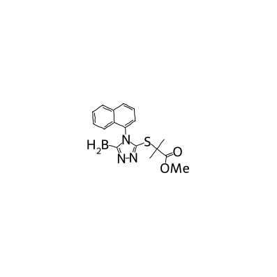 Bc1nnc(SC(C)(C)C(=O)OC)n1-c1cccc2ccccc12